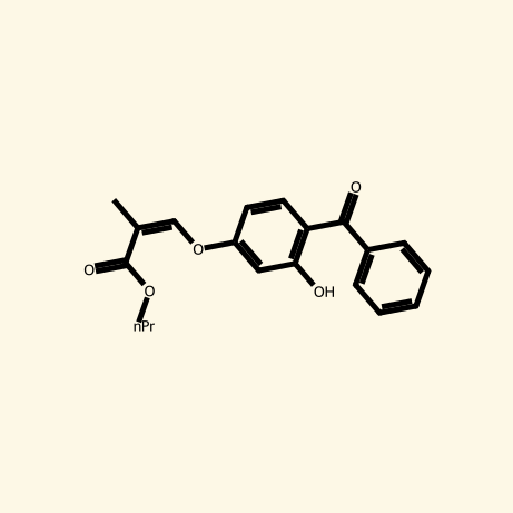 CCCOC(=O)C(C)=COc1ccc(C(=O)c2ccccc2)c(O)c1